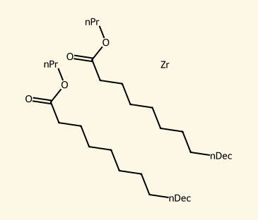 CCCCCCCCCCCCCCCCCC(=O)OCCC.CCCCCCCCCCCCCCCCCC(=O)OCCC.[Zr]